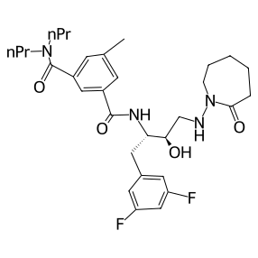 CCCN(CCC)C(=O)c1cc(C)cc(C(=O)N[C@@H](Cc2cc(F)cc(F)c2)[C@H](O)CNN2CCCCCC2=O)c1